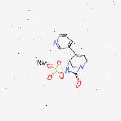 O=C1N2CC=C(c3cccnc3)C(C2)N1OS(=O)(=O)[O-].[Na+]